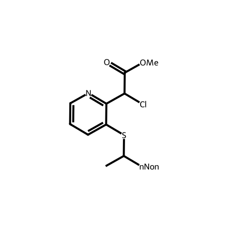 CCCCCCCCCC(C)Sc1cccnc1C(Cl)C(=O)OC